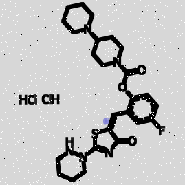 Cl.Cl.O=C1N=C(N2CCCCN2)S/C1=C/c1cc(F)ccc1OC(=O)N1CCC(N2CCCCC2)CC1